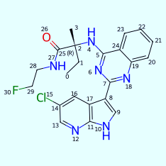 CC[C@@](C)(Nc1nc(-c2c[nH]c3ncc(Cl)cc23)nc2ccccc12)C(=O)NCCF